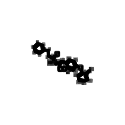 O=C(CCc1ccccc1)NC(=Cc1ccc(Oc2ccccc2I)cc1)C(=O)O